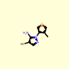 Cc1cscc1-n1ncc(C#N)c1N